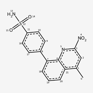 Cc1cc([N+](=O)[O-])nc2c(-c3ccc(S(N)(=O)=O)cc3)cccc12